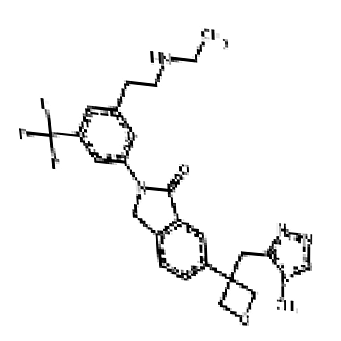 CCNCCc1cc(N2Cc3ccc(C4(Cc5nncn5C)COC4)cc3C2=O)cc(C(F)(F)F)c1